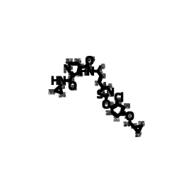 C[C@@H](/C=C/c1cnc(Oc2ccc(OCC3CC3)cc2Cl)s1)NC(=O)c1ccnc(C(=O)NC2CC2)c1